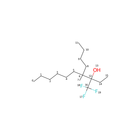 CCCCCCC(C)(CCCC)C(O)(CC)C(F)(F)F